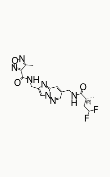 Cc1nonc1C(=O)NCc1cn2ncc(CNC(=O)[C@H](C)CC(F)F)cc2n1